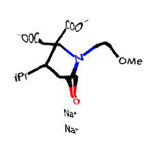 COCN1C(=O)C(C(C)C)C1(C(=O)[O-])C(=O)[O-].[Na+].[Na+]